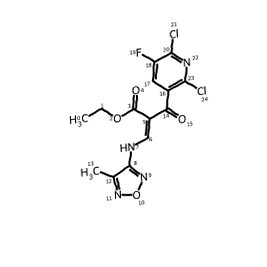 CCOC(=O)C(=CNc1nonc1C)C(=O)c1cc(F)c(Cl)nc1Cl